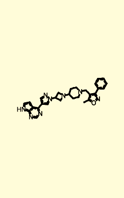 Cc1onc(-c2ccccc2)c1CN1CCC(N2CC(n3cc(-c4ncnc5[nH]ccc45)cn3)C2)CC1